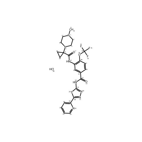 CN1CCN(C2(C(=O)Nc3cc(C(=O)Nc4nnc(-c5ccccn5)s4)ccc3OC(F)(F)F)CC2)CC1.Cl